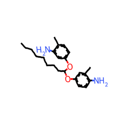 CCCCCCCCC(Oc1ccc(N)c(C)c1)Oc1ccc(C)c(N)c1